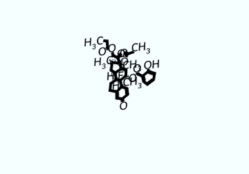 CCC(=O)OCC(=O)[C@@]1(OC(=O)CC)[C@@H](C)C[C@H]2[C@@H]3CCC4=CC(=O)C=C[C@]4(C)C3(F)[C@@H](OC(=O)c3ccccc3O)C[C@@]21C